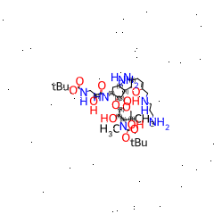 CN(C(=O)OC(C)(C)C)[C@@H]1[C@@H](O)[C@@H](O[C@@H]2[C@@H](O)[C@H](C3OC(CNCCCN)=CC[C@H]3N)[C@@H](N)C[C@H]2NC(=O)[C@@H](O)CNC(=O)OC(C)(C)C)OC[C@]1(C)O